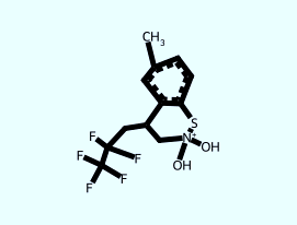 Cc1ccc2c(c1)C(CC(F)(F)C(F)(F)F)C[N+](O)(O)S2